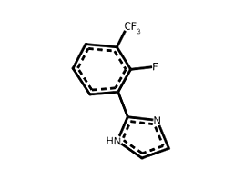 Fc1c(-c2ncc[nH]2)cccc1C(F)(F)F